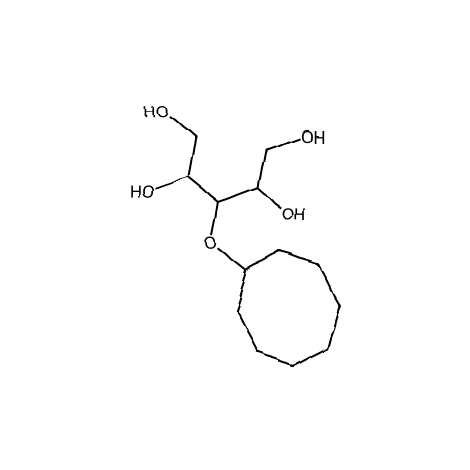 OCC(O)C(OC1CCCCCCC1)C(O)CO